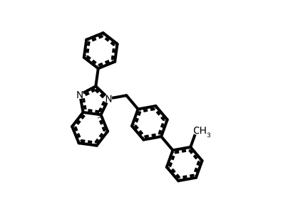 Cc1ccccc1-c1ccc(Cn2c(-c3ccccc3)nc3ccccc32)cc1